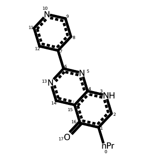 CCCc1c[nH]c2nc(-c3ccncc3)ncc2c1=O